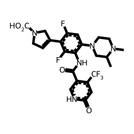 CC1CN(c2cc(F)c(C3=CCN(C(=O)O)C3)c(F)c2NC(=O)c2c[nH]c(=O)cc2C(F)(F)F)CCN1C